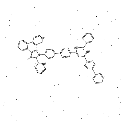 CN1c2c(c3c(c4ccccc24)C=CNC3)N(c2ccc(-c3ccc(/C(=C/C(=N)c4ccc(-c5ccccc5)cc4)NCc4ccccc4)cc3)cc2)C1C1C=CC=CN1